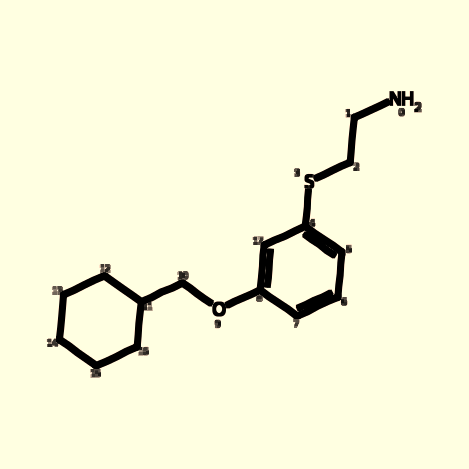 NCCSc1cccc(OCC2CCCCC2)c1